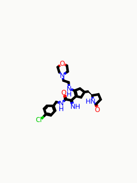 N=C(C(=O)NCc1ccc(Cl)cc1)C1=C(NCCN2CCOCC2)CC(C[C@H]2CCC(=O)N2)C1